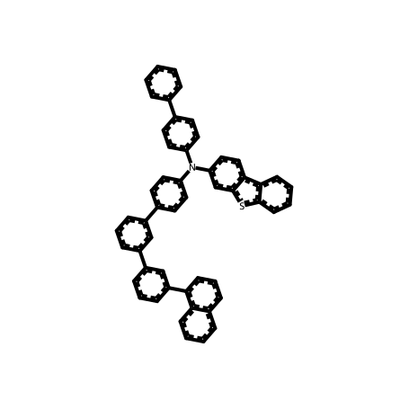 c1ccc(-c2ccc(N(c3ccc(-c4cccc(-c5cccc(-c6cccc7ccccc67)c5)c4)cc3)c3ccc4c(c3)sc3ccccc34)cc2)cc1